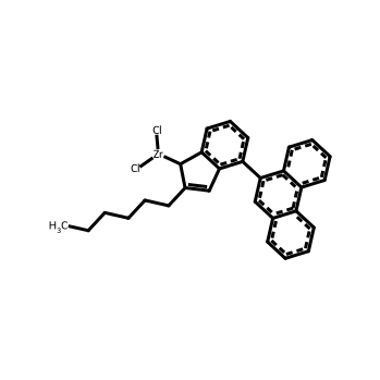 CCCCCCC1=Cc2c(-c3cc4ccccc4c4ccccc34)cccc2[CH]1[Zr]([Cl])[Cl]